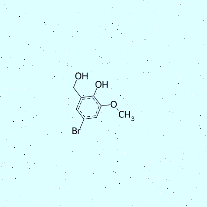 COc1cc(Br)cc(CO)c1O